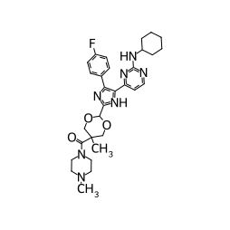 CN1CCN(C(=O)C2(C)COC(c3nc(-c4ccc(F)cc4)c(-c4ccnc(NC5CCCCC5)n4)[nH]3)OC2)CC1